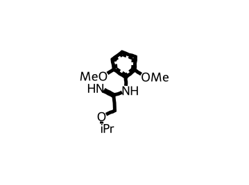 COc1cccc(OC)c1NC(=N)COC(C)C